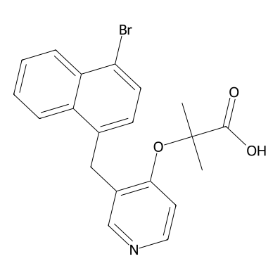 CC(C)(Oc1ccncc1Cc1ccc(Br)c2ccccc12)C(=O)O